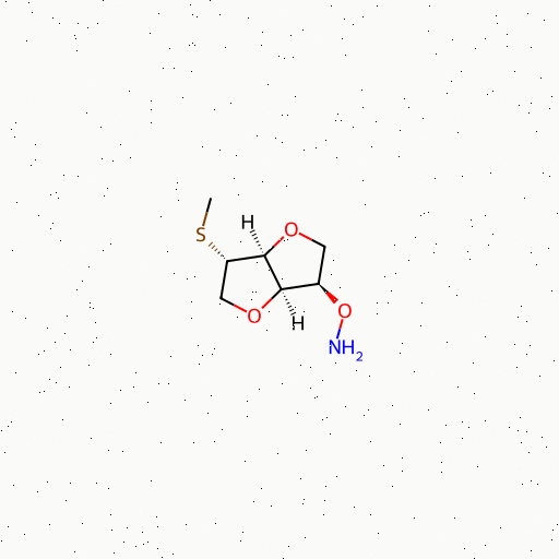 CS[C@H]1CO[C@H]2[C@@H]1OC[C@H]2ON